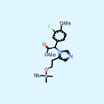 COC(=O)C(c1ccc(OC)c(F)c1)n1cncc1CCO[Si](C)(C)C(C)(C)C